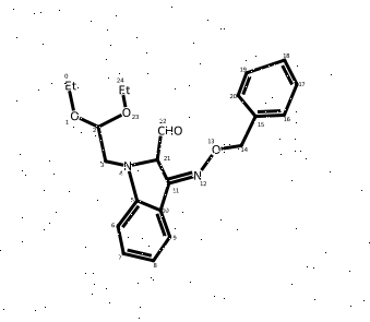 CCOC(CN1c2ccccc2C(=NOCc2ccccc2)C1C=O)OCC